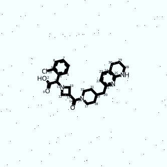 O=C(O)C(c1ccccc1Cl)N1CC(C(=O)N2CCC(Cc3ccc4c(n3)NCCC4)CC2)C1